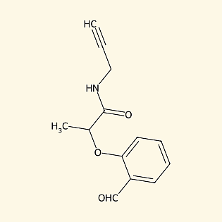 C#CCNC(=O)C(C)Oc1ccccc1C=O